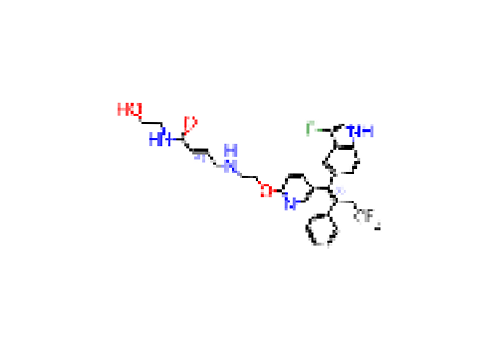 O=C(/C=C/CNCCOc1ccc(/C(=C(/CC(F)(F)F)c2ccccc2)c2ccc3[nH]cc(F)c3c2)cn1)NCCO